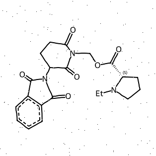 CCN1CCC[C@H]1C(=O)OCN1C(=O)CCC(N2C(=O)c3ccccc3C2=O)C1=O